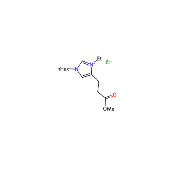 CCCCCCn1cc(CCC(=O)OC)[n+](CC)c1.[Br-]